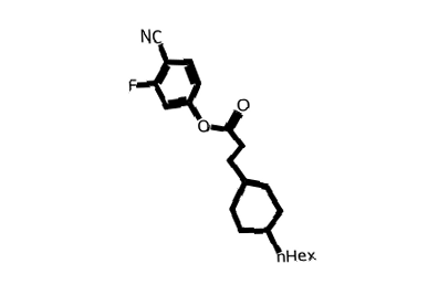 CCCCCCC1CCC(CCC(=O)Oc2ccc(C#N)c(F)c2)CC1